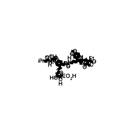 CC[C@H]1C(=O)OCc2c1cc1n(c2=O)Cc2c-1nc1cc3c(cc1c2CCCNC(=O)OCc1ccc(NC(=O)[C@H](C)NC(=O)CC(C)C)cc1CC[C@H]1C[C@@H](O)[C@H](O)[C@@H](C(=O)O)O1)OCO3